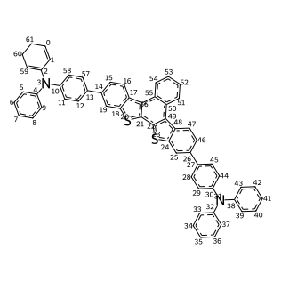 C1=CC(N(c2ccccc2)c2ccc(-c3ccc4c(c3)sc3c5sc6cc(-c7ccc(N(c8ccccc8)c8ccccc8)cc7)ccc6c5c5ccccc5c43)cc2)=CCC1